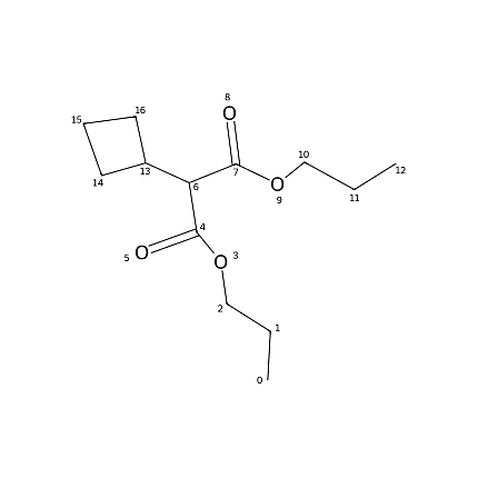 CCCOC(=O)C(C(=O)OCCC)C1CCC1